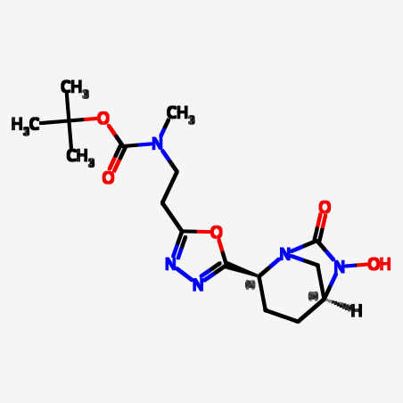 CN(CCc1nnc([C@@H]2CC[C@H]3CN2C(=O)N3O)o1)C(=O)OC(C)(C)C